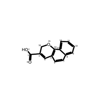 O=C(O)C1=Cc2ccc3ccccc3c2OC1